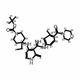 C=C1NC=CC(NC2(CC)CCN(C(=O)OC(C)(C)C)CC2)=C1C(=N)Nc1ccc(C(=O)N2CCOCC2)c(C)c1